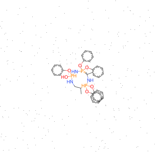 CC1=P(Oc2ccccc2)(Oc2ccccc2)N[PH](O)(Oc2ccccc2)NCC(C)[PH](Oc2ccccc2)(Oc2ccccc2)N1